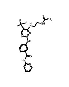 CC(=O)NCCNc1nc(Nc2cccc(C(=O)Nc3ccccn3)c2)ncc1C(F)(F)F